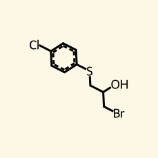 OC(CBr)CSc1ccc(Cl)cc1